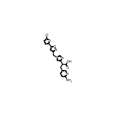 Nc1ccc(CC(C(=O)O)c2cn(Cc3cc(-c4ccc(Cl)s4)on3)cn2)cn1